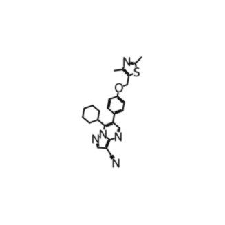 Cc1nc(C)c(COc2ccc(-c3cnc4c(C#N)cnn4c3C3CCCCC3)cc2)s1